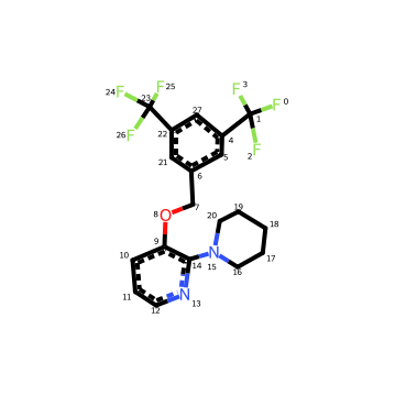 FC(F)(F)c1cc(COc2cccnc2N2CCCCC2)cc(C(F)(F)F)c1